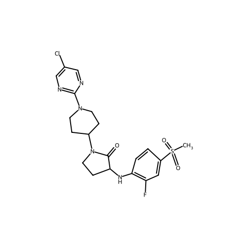 CS(=O)(=O)c1ccc(NC2CCN(C3CCN(c4ncc(Cl)cn4)CC3)C2=O)c(F)c1